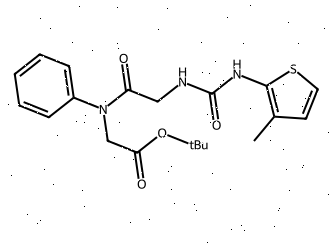 Cc1ccsc1NC(=O)NCC(=O)N(CC(=O)OC(C)(C)C)c1ccccc1